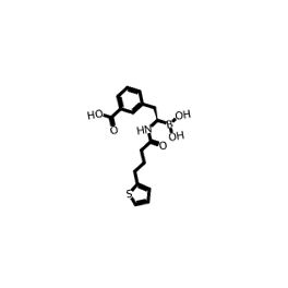 O=C(CCCc1cccs1)N[C@@H](Cc1cccc(C(=O)O)c1)B(O)O